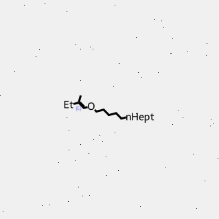 CCCCCCCCCCCCO/C=C(\C)CC